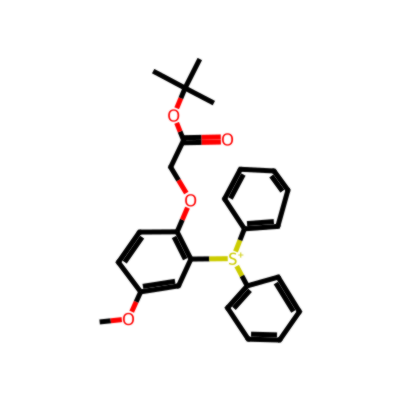 COc1ccc(OCC(=O)OC(C)(C)C)c([S+](c2ccccc2)c2ccccc2)c1